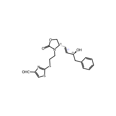 O=Cc1csc(SCCN2C(=O)OC[C@@H]2/C=C/[C@@H](O)Cc2ccccc2)n1